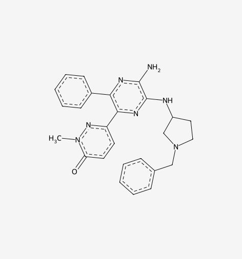 Cn1nc(-c2nc(NC3CCN(Cc4ccccc4)C3)c(N)nc2-c2ccccc2)ccc1=O